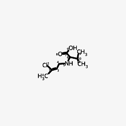 CC(Cl)=CCNC(C(=O)O)C(C)C